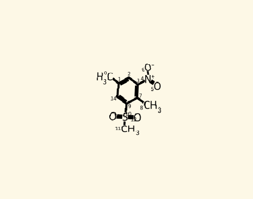 Cc1cc([N+](=O)[O-])c(C)c(S(C)(=O)=O)c1